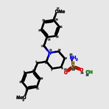 COc1ccc(CC2CCCCN2Cc2ccc(OC)cc2)cc1.Cl.N[SH](=O)=O